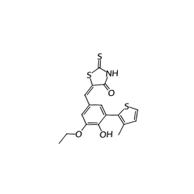 CCOc1cc(C=C2SC(=S)NC2=O)cc(-c2sccc2C)c1O